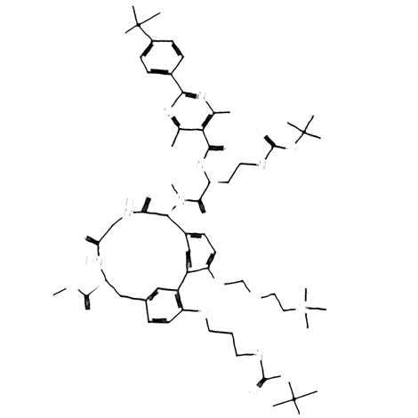 COC(=O)[C@@H]1Cc2ccc(OC[C@H](O)CNC(=O)OC(C)(C)C)c(c2)-c2cc(ccc2OCOCC[Si](C)(C)C)[C@H](N(C)C(=O)[C@H](CCNC(=O)OC(C)(C)C)NC(=O)c2c(C)nc(-c3ccc(C(C)(C)C)cc3)nc2C)C(=O)N[C@@H](C)C(=O)N1